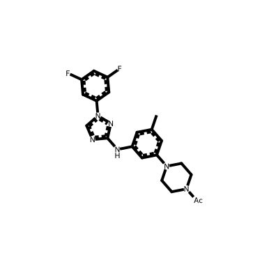 CC(=O)N1CCN(c2cc(C)cc(Nc3ncn(-c4cc(F)cc(F)c4)n3)c2)CC1